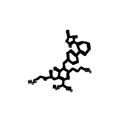 CCCCc1nc(C(C)C)c(CC(=O)OCC)c(=O)n1Cc1ccc(-c2ccccc2-c2noc(=O)[nH]2)cc1